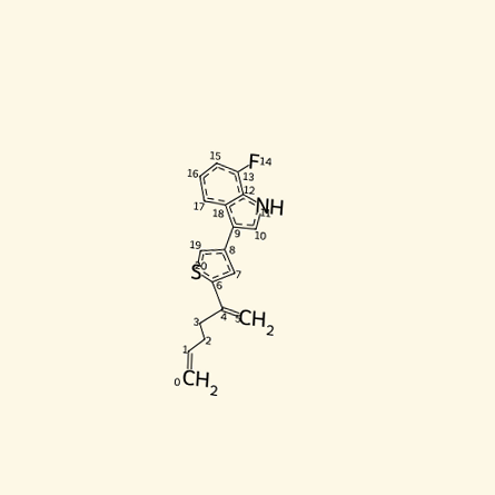 C=CCCC(=C)c1cc(-c2c[nH]c3c(F)cccc23)cs1